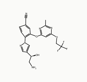 Cc1nc(OCC(F)(F)F)cc(Oc2cc(C#N)ccc2-n2cc([C@@H](O)CN)cn2)n1